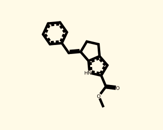 COC(=O)c1cc2c([nH]1)C(=Cc1ccccc1)CC2